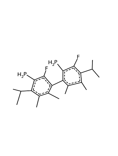 Cc1c(C)c(C(C)C)c(P)c(F)c1-c1c(C)c(C)c(C(C)C)c(F)c1P